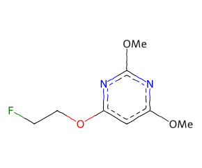 COc1cc(OCCF)nc(OC)n1